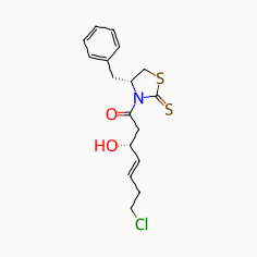 O=C(C[C@@H](O)/C=C/CCCl)N1C(=S)SC[C@H]1Cc1ccccc1